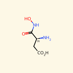 N[C@@H](CC(=O)O)C(=O)NO